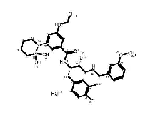 CCNc1cc(C(=O)N[C@@H](Cc2ccc(F)c(F)c2)[C@H](O)CNCc2cccc(OC)c2)cc(N2CCCCS2(O)O)c1.Cl